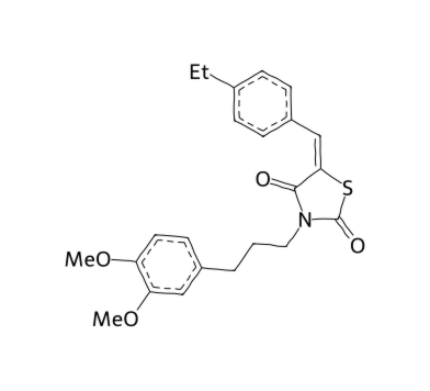 CCc1ccc(C=C2SC(=O)N(CCCc3ccc(OC)c(OC)c3)C2=O)cc1